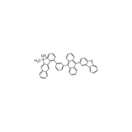 CC1(C)c2cc3ccccc3cc2-c2c(-c3cccc(-c4c5ccccc5c(-c5ccc6sc7ccccc7c6c5)c5ccccc45)c3)cccc21